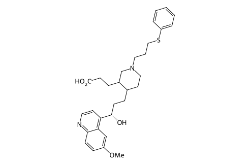 COc1ccc2nccc([C@@H](O)CCC3CCN(CCCSc4ccccc4)CC3CCC(=O)O)c2c1